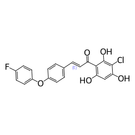 O=C(/C=C/c1ccc(Oc2ccc(F)cc2)cc1)c1c(O)cc(O)c(Cl)c1O